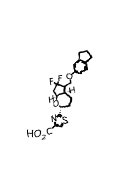 O=C(O)c1csc([C@H]2CC[C@@H]3C(COc4ccc5c(c4)CCC5)C(F)(F)C[C@@H]3O2)n1